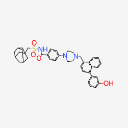 O=C(NS(=O)(=O)CC12CC3CC(CC(C3)C1)C2)c1ccc(N2CCN(Cc3ccc(-c4cccc(O)c4)c4ccccc34)CC2)cc1